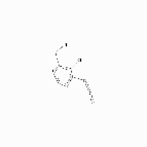 O=C=Nc1cccc(CCl)c1Cl